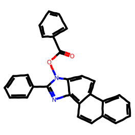 O=C(On1c(-c2ccccc2)nc2c3ccc4ccccc4c3ccc21)c1ccccc1